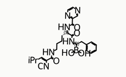 CC(C)C=C(C#N)C(=O)NCCCC[C@H](NC(=O)c1cnccn1)C(=O)N[C@@H](Cc1ccccc1)B(O)O